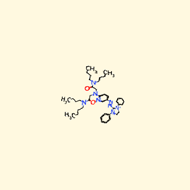 CCCCN(CCCC)C(=O)CN(CC(=O)N(CCCC)CCCC)c1ccc(/N=N/C2=[N+](c3ccccc3)CCN2c2ccccc2)cn1